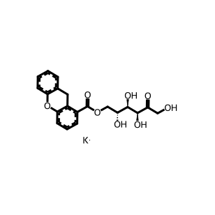 O=C(OC[C@@H](O)[C@@H](O)[C@H](O)C(=O)CO)c1cccc2c1Cc1ccccc1O2.[K]